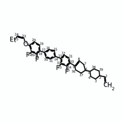 C=CC1CCC(C2CC=C(c3ccc(-c4ccc(-c5ccc(O/C=C\CC)c(F)c5F)cc4)c(F)c3F)CC2)CC1